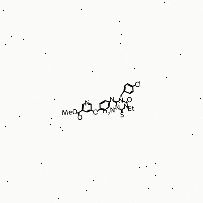 CCn1c(=S)n(N)/c(=N\c2ccc(Oc3cncc(C(=O)OC)c3)cc2)n(Cc2ccc(Cl)cc2)c1=O